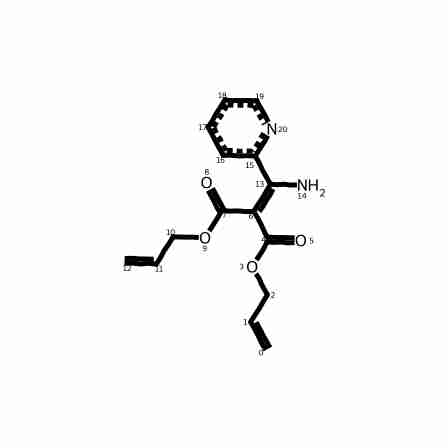 C=CCOC(=O)C(C(=O)OCC=C)=C(N)c1ccccn1